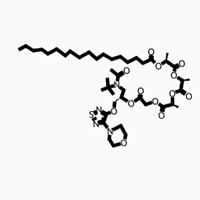 CCCCCCCCCCCCCCCCCC(=O)O[C@@H](C)C(=O)O[C@@H](C)C(=O)O[C@@H](C)C(=O)OCC(=O)O[C@H](COc1nsnc1N1CCOCC1)CN(C(C)=O)C(C)(C)C